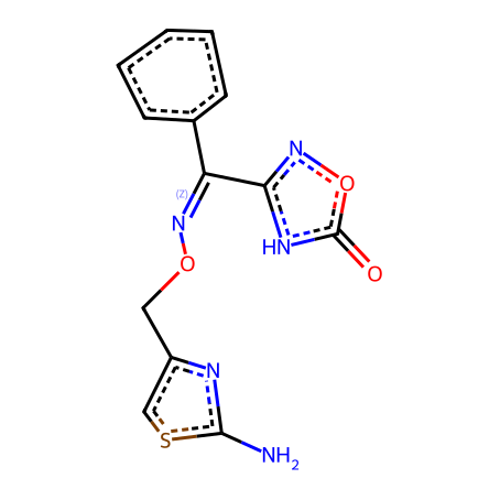 Nc1nc(CO/N=C(/c2ccccc2)c2noc(=O)[nH]2)cs1